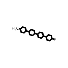 CC1CCC(C2CCC(C3CCC(C4CCC(F)CC4)CC3)CC2)CC1